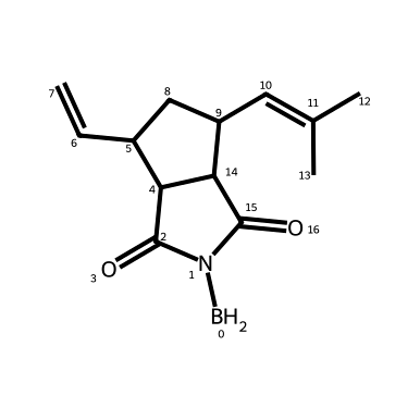 BN1C(=O)C2C(C=C)CC(C=C(C)C)C2C1=O